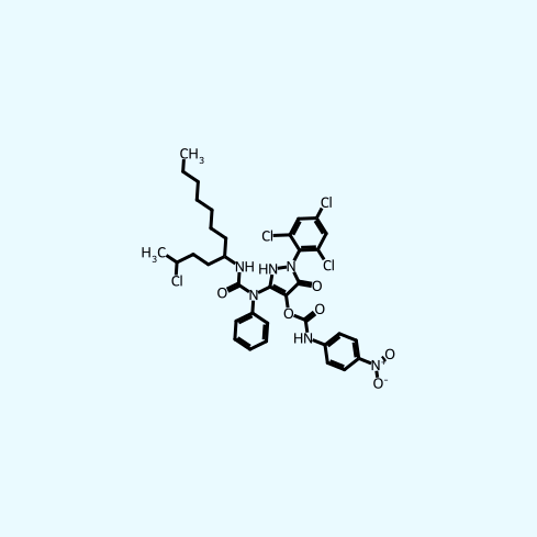 CCCCCCCC(CCC(C)Cl)NC(=O)N(c1ccccc1)c1[nH]n(-c2c(Cl)cc(Cl)cc2Cl)c(=O)c1OC(=O)Nc1ccc([N+](=O)[O-])cc1